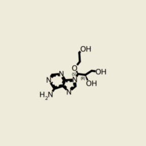 Nc1ncnc2c1ncn2[C@@H](OCCO)[C@H](O)CO